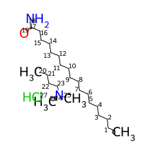 CCCCCCCCCCCCCCCCCC(N)=O.CCCCN(C)C.Cl